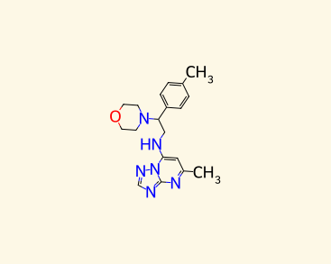 Cc1ccc(C(CNc2cc(C)nc3ncnn23)N2CCOCC2)cc1